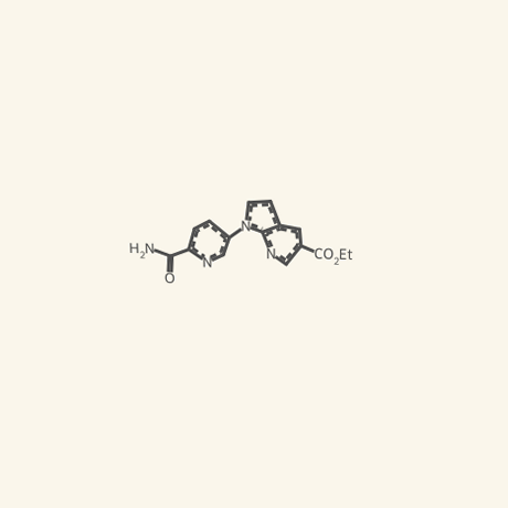 CCOC(=O)c1cnc2c(ccn2-c2ccc(C(N)=O)nc2)c1